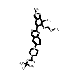 COCOc1c(-c2ncc3cc(N4CCN(C(=O)OC(C)(C)C)CC4)ccc3n2)cc2cn(C)nc2c1C